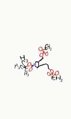 CC(C)(C)OC(=O)N1CC(CCOS(C)(=O)=O)C(COS(C)(=O)=O)C1